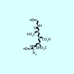 CCCCCCCCCCCCNC(=O)CN(CCN(CCN(CC(=O)O)CC(=O)NC(C)CCCCCCCCCC)CC(=O)O)CC(=O)O